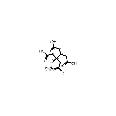 O=C(O)CC(CC(=O)O)[C]([Fe])(CC(=O)O)CC(=O)O.[NaH]